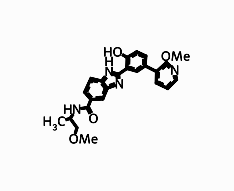 COCC(C)NC(=O)c1ccc2[nH]c(-c3cc(-c4cccnc4OC)ccc3O)nc2c1